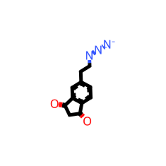 [N-]=[N+]=NCCc1ccc2c(c1)C(=O)CC2=O